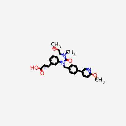 COCCN(C)C(=O)N(Cc1ccc(-c2ccc(OC)nc2)cc1)c1cccc(/C=C/C(=O)O)c1